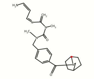 C=C(/N=C\C=C/N)N(C)C(=O)N(C)Cc1ccc(C(=O)N2CC3CCC(CC3)C2)cc1